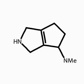 CNC1CCC2=C1CNC2